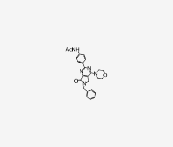 CC(=O)Nc1ccc(-c2nc3c(c(N4CCOCC4)n2)CN(Cc2ccccc2)C3=O)cc1